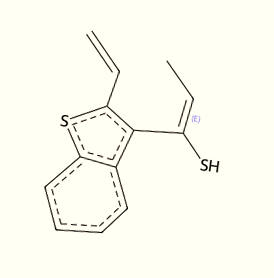 C=Cc1sc2ccccc2c1/C(S)=C\C